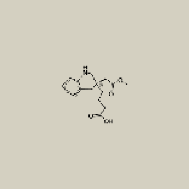 COC(=O)C[C@]1(CCCC(=O)O)CNc2ccccc2C1